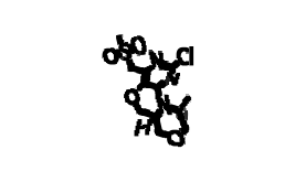 C[C@H]1COC[C@@H]2COc3c(CS(C)(=O)=O)nc(Cl)nc3N21